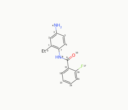 CCc1cc(N)ccc1NC(=O)c1ccccc1F